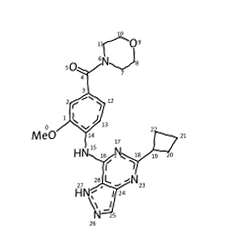 COc1cc(C(=O)N2CCOCC2)ccc1Nc1nc(C2CCC2)nc2cn[nH]c12